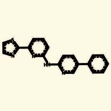 c1ccc(-c2ccc(Nc3cccc(-c4nccs4)n3)nc2)cc1